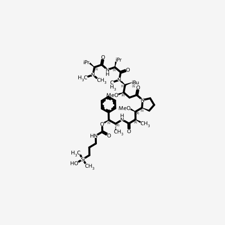 CC[C@H](C)[C@@H]([C@@H](CC(=O)N1CCC[C@H]1[C@H](OC)[C@@H](C)C(=O)N[C@H](C)[C@@H](OC(=O)NCCC[Si](C)(C)O)c1ccccc1)OC)N(C)C(=O)[C@@H](NC(=O)[C@H](C(C)C)N(C)C)C(C)C